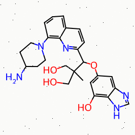 CC(CO)(CO)C(Oc1cc(O)c2[nH]cnc2c1)c1ccc2cccc(N3CCC(N)CC3)c2n1